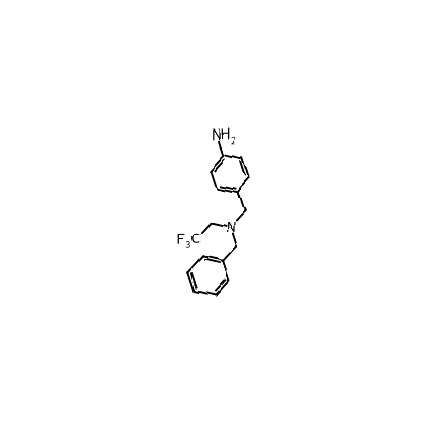 Nc1ccc(CN(Cc2ccccc2)CC(F)(F)F)cc1